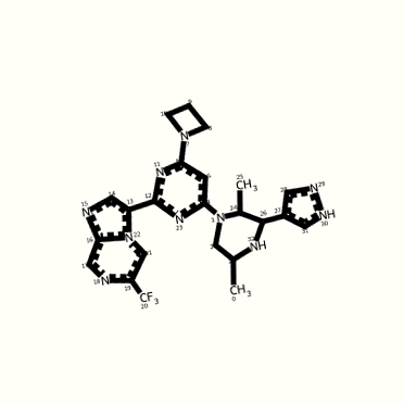 CC1CN(c2cc(N3CCC3)nc(-c3cnc4cnc(C(F)(F)F)cn34)n2)C(C)C(c2cn[nH]c2)N1